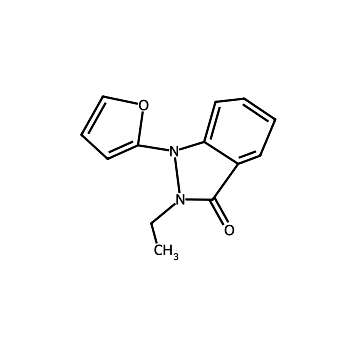 CCn1c(=O)c2ccccc2n1-c1ccco1